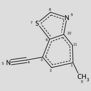 Cc1cc(C#N)c2scnc2c1